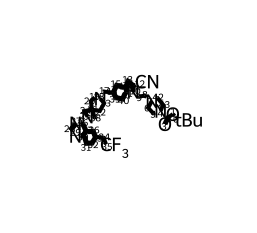 CC(C)(C)OC(=O)N1CCN(CCn2c(C#N)cc3cc(CN4CCC5(CC4)CN(c4ncnc6ccc(CC(F)(F)F)cc46)C5)ccc32)CC1